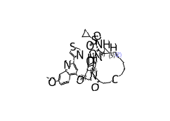 COc1ccc2c(O[C@@H]3C[C@H]4C(=O)N[C@]5(C(=O)NS(=O)(=O)C6CC6)C[C@H]5/C=C\CCCCCCC(=O)N4C3)cc(-c3cscn3)nc2c1